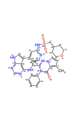 Cc1ccn2nc([C@H](C)Nc3ncnc4[nH]cc(-c5ccnc(NS(=O)(=O)CC6CCOCC6)c5)c34)n(-c3ccccc3)c(=O)c12